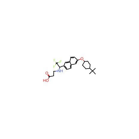 CC(C)(C)C1CCC(Oc2ccc3cc(C(NCCC(=O)O)C(F)(F)F)ccc3c2)CC1